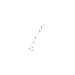 CCN/C(Cc1cccnc1)=N\N=C\SC/C(=C/C=C(\CC)C(C)C)CC